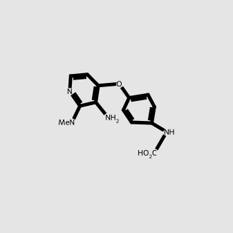 CNc1nccc(Oc2ccc(NC(=O)O)cc2)c1N